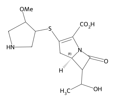 COC1CNCC1SC1=C(C(=O)O)N2C(=O)C(C(C)O)[C@H]2C1